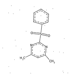 Cc1cc(C)nc(S(=O)(=O)c2ccccc2)n1